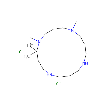 CN1CCCNCCCNCC[C]([Ti+2])(C(F)(F)F)N(C)CCC1.[Cl-].[Cl-]